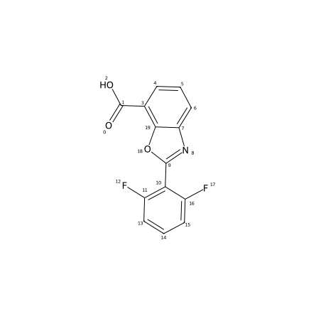 O=C(O)c1cccc2nc(-c3c(F)cccc3F)oc12